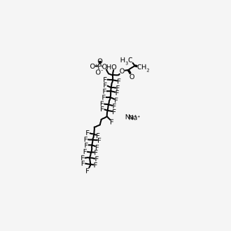 C=C(C)C(=O)OCC(O)(COP(=O)([O-])[O-])C(F)(F)C(F)(F)C(F)(F)C(F)(F)C(F)(F)C(F)(F)C(F)CCCC(F)(F)C(F)(F)C(F)(F)C(F)(F)C(F)(F)C(F)(F)F.[Na+].[Na+]